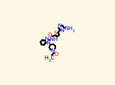 C=CC(=O)N1CCC[C@@H](n2c(NC(=O)c3ccc(-c4cncc(N)n4)s3)nc3ccccc32)CC1